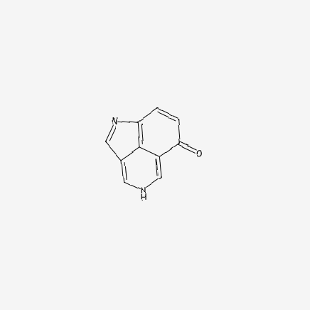 O=c1ccc2ncc3c[nH]cc1c32